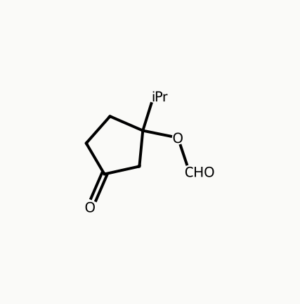 CC(C)C1(OC=O)CCC(=O)C1